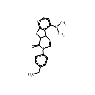 CCc1ccc(N2C=NC3c4c(N(C)C)ccnc4SC3C2=O)cc1